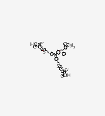 [C-]#[N+]/C(=C\c1cc2sc(/C=C/c3ccc(N(c4ccc(/C=C/c5cc6sc(/C=C(\[N+]#[C-])C(=O)O)cc6s5)cc4)c4ccc(/C=C(\c5ccccc5)c5ccc(C)c(C)c5)cc4)cc3)cc2s1)C(=O)O